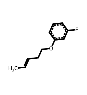 CC=CCCOc1cc[c]c(F)c1